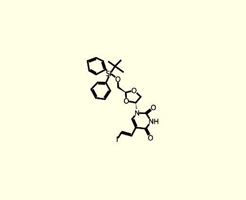 CC(C)(C)[Si](OC[C@H]1OC[C@H](n2cc(/C=C/I)c(=O)[nH]c2=O)O1)(c1ccccc1)c1ccccc1